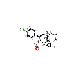 C[C@@]12CCCC[C@@H]1CC(c1ccc(Cl)cc1)=C(C=O)C2